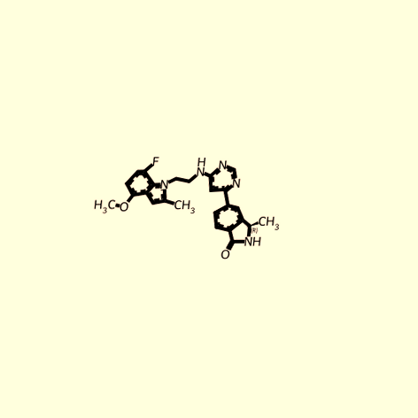 COc1ccc(F)c2c1cc(C)n2CCNc1cc(-c2ccc3c(c2)[C@@H](C)NC3=O)ncn1